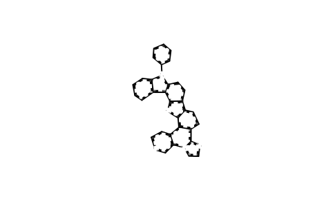 c1ccc(-n2c3ccccc3c3c4[nH]c5c(ccc6c5c5ccncc5n5ccnc65)c4ccc32)cc1